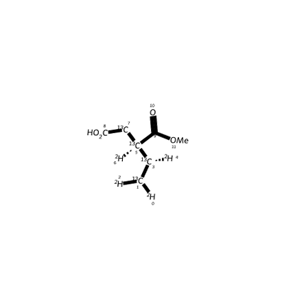 [2H][13CH]([2H])[13C@@H]([2H])[13C@@]([2H])([13CH2][13C](=O)O)C(=O)OC